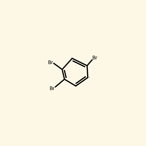 Brc1[c]cc(Br)c(Br)c1